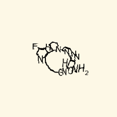 Nc1nn2ccc3nc2c1C(=O)NCCCCc1ncc(F)cc1[C@H]1CCCN31